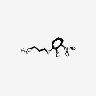 CCCCOc1cccc([N+](=O)[O-])c1Cl